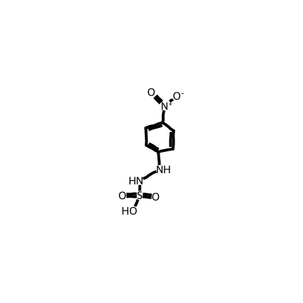 O=[N+]([O-])c1ccc(NNS(=O)(=O)O)cc1